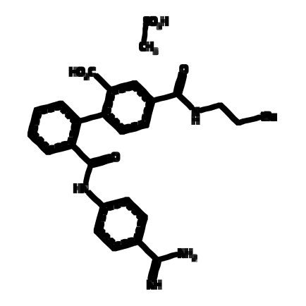 CC(C)(C)CCNC(=O)c1ccc(-c2ccccc2C(=O)Nc2ccc(C(=N)N)cc2)c(C(=O)O)c1.CS(=O)(=O)O